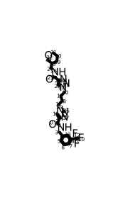 O=C(NCc1cccc(C(F)(F)F)c1)c1cn(CCCCn2cc(C(=O)NCC3CCCOC3)nn2)nn1